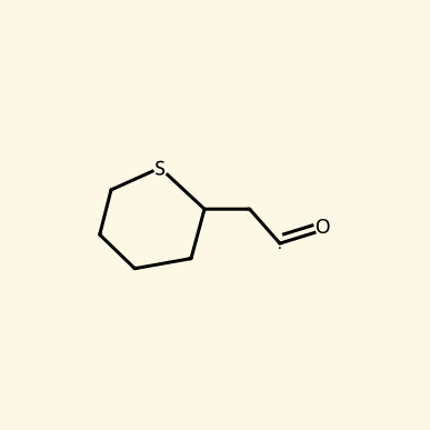 O=[C]CC1CCCCS1